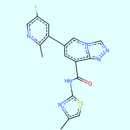 Cc1csc(NC(=O)c2cc(-c3cc(F)cnc3C)cn3cnnc23)n1